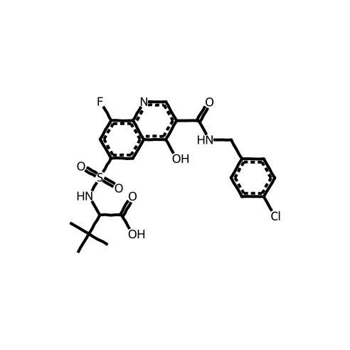 CC(C)(C)C(NS(=O)(=O)c1cc(F)c2ncc(C(=O)NCc3ccc(Cl)cc3)c(O)c2c1)C(=O)O